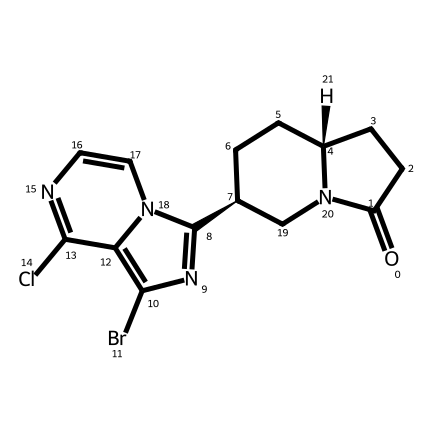 O=C1CC[C@H]2CC[C@H](c3nc(Br)c4c(Cl)nccn34)CN12